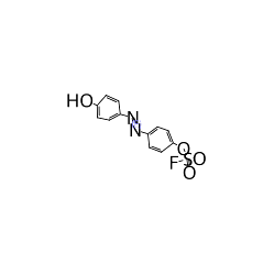 O=S(=O)(F)Oc1ccc(/N=N/c2ccc(O)cc2)cc1